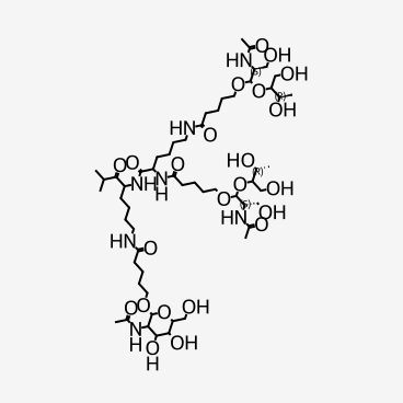 CC(=O)NC1C(OCCCCC(=O)NCCCCC(NC(=O)C(CCCCNC(=O)CCCCOC(OC(CO)[C@@H](C)O)[C@H](CO)NC(C)=O)NC(=O)CCCCOC(OC(CO)[C@@H](C)O)[C@H](CO)NC(C)=O)C(=O)C(C)C)OC(CO)C(O)C1O